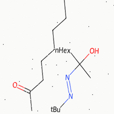 CCCCCCC(C)(O)N=NC(C)(C)C.CCCCCCC(C)=O